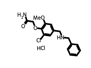 COc1cc(CNCc2ccccc2)cc(Cl)c1OCC(N)=O.Cl